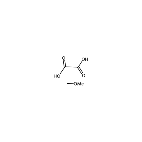 COC.O=C(O)C(=O)O